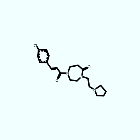 O=C(C=Cc1ccc(Cl)cc1)N1CCC(=O)N(CCN2CCCC2)CC1